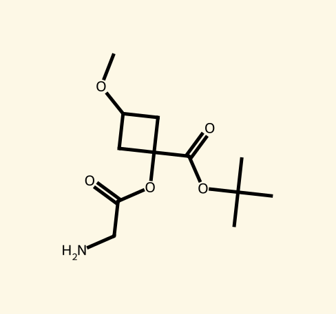 COC1CC(OC(=O)CN)(C(=O)OC(C)(C)C)C1